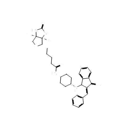 O=C1N[C@H]2[C@H](CS[C@H]2CCCCC(=O)N[C@H]2CC[C@H](NC3/C(=C\c4ccccc4)C(=O)c4ccccc43)CC2)N1